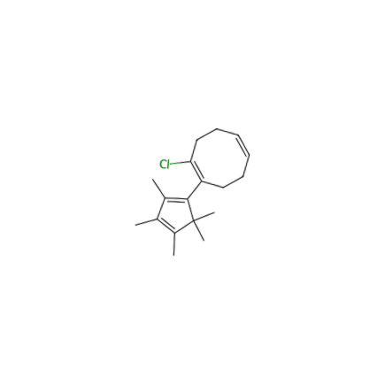 CC1=C(C)C(C)(C)C(C2=C(Cl)CCC=CCC2)=C1C